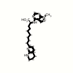 Cn1ncc2c(N[C@@H](CCCCCCCc3ccc4c(n3)NCCC4)C(=O)O)ncnc21